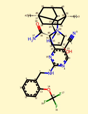 N#Cc1cnc(NCc2ccccc2OC(F)(F)F)nc1NC[C@]12CC3C[C@H](C1)C(N1C[C@H](O)C[C@@H]1C(N)=O)[C@@H](C3)C2